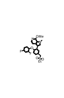 CCS(=O)(=O)Cc1ccc(Oc2ccc(F)cc2F)c(-c2cn(C)c3c(OC)nccc23)c1